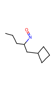 CCCC(CC1CCC1)N=O